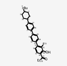 CCCCC1CCC(c2ccc(-c3ccc(-c4ccc(C(=O)CC)c(O)c4F)cc3)cc2)CC1